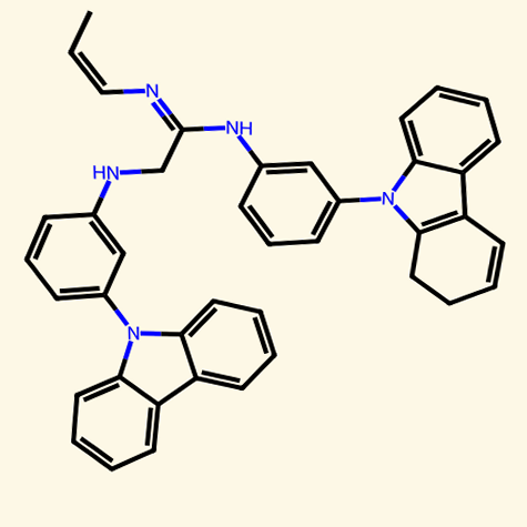 C/C=C\N=C(/CNc1cccc(-n2c3ccccc3c3ccccc32)c1)Nc1cccc(-n2c3c(c4ccccc42)C=CCC3)c1